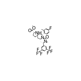 COC(=O)[C@H]1CC[C@@]2(CCN(C(=O)N(C)[C@@H](C)c3cc(C(F)(F)F)cc(C(F)(F)F)c3)[C@@H](c3ccc(F)cc3C)C2)N1